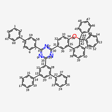 c1ccc(-c2ccc(-c3nc(-c4cc(-c5ccccc5)cc(-c5ccccc5)c4)nc(-c4ccc5c(c4)-c4ccccc4C(c4ccccc4)(c4ccccc4)O5)n3)cc2)cc1